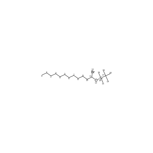 CCCCCCCCCCCC(Br)O[Si](C)(C)C(C)(C)C